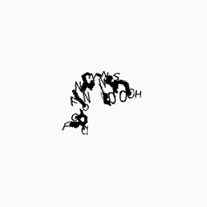 O=C(O)Cc1sc2nc(CN3CC=C(c4ncc(F)c(OCc5ccc(Cl)c6cc(F)oc56)n4)CC3)n(C[C@@H]3CCO3)c2c1F